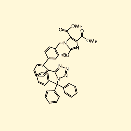 CCCCc1nc(C(=O)OC)c(C(=O)OC)n1Cc1ccc(-c2ccccc2-c2nnnn2C(c2ccccc2)(c2ccccc2)c2ccccc2)cc1